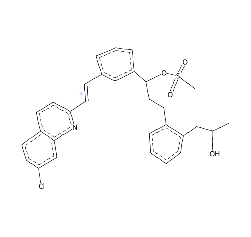 CC(O)Cc1ccccc1CCC(OS(C)(=O)=O)c1cccc(/C=C/c2ccc3ccc(Cl)cc3n2)c1